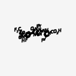 CC(C)n1c(=O)c(-c2ccc(NS(=O)(=O)CCC(F)(F)F)c(F)c2)nc2cnc(N[C@H]3C[C@@H](CF)CN(C(=O)O)C3)nc21